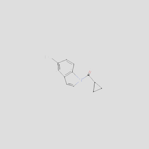 Cc1ccc2c(ccn2C(=O)C2CC2)c1